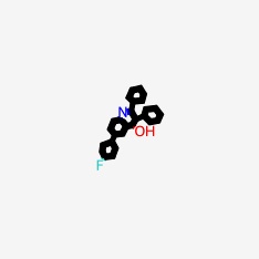 Oc1c(-c2ccccc2)c(-c2ccccc2)nc2ccc(-c3ccc(F)cc3)cc12